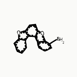 Bc1cccc2c1oc1ccc3oc4ccccc4c3c12